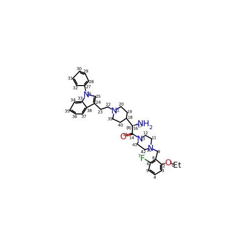 CCOc1cccc(F)c1CN1CCN(C(=O)[C@H](N)C2CCN(CCc3cn(-c4ccccc4)c4ccccc34)CC2)CC1